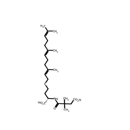 CC(C)=CCC/C(C)=C/CC/C(C)=C/CSCC[C@H](NC(=O)C(C)(C)CC(=O)O)C(=O)O